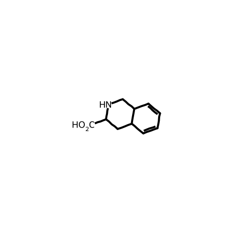 O=C(O)C1CC2C=CC=CC2CN1